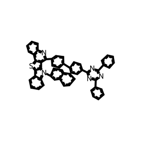 c1ccc(-c2nc(-c3ccccc3)nc(-c3ccc(-c4ccc(-c5nc6ccccc6c6sc7c8ccccc8n(-c8ccc9ccccc9c8)c7c56)cc4)cc3)n2)cc1